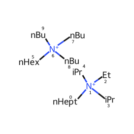 CCCCCCC[N+](CC)(C(C)C)C(C)C.CCCCCC[N+](CCCC)(CCCC)CCCC